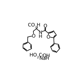 O=C(NC(COCc1ccccc1)C(=O)O)c1ccc(-c2ccccc2)o1.O=C(O)O.[NaH]